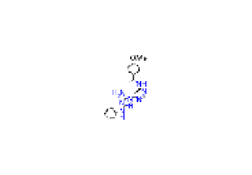 COc1ccc(C(C)Nc2cc(-n3nc(Nc4ccccc4)nc3N)ncn2)cc1